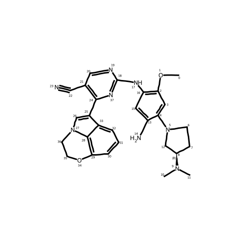 COc1cc(N2CC[C@@H](N(C)C)C2)c(N)cc1Nc1ncc(C#N)c(-c2cn3c4c(cccc24)OCC3)n1